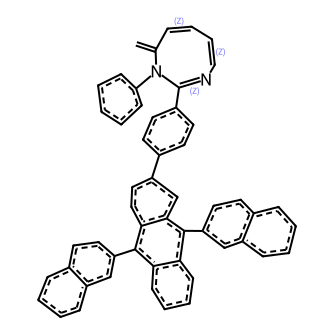 C=C1\C=C/C=C\N=C(\c2ccc(-c3ccc4c(-c5ccc6ccccc6c5)c5ccccc5c(-c5ccc6ccccc6c5)c4c3)cc2)N1c1ccccc1